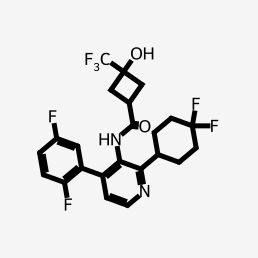 O=C(Nc1c(-c2cc(F)ccc2F)ccnc1C1CCC(F)(F)CC1)C1CC(O)(C(F)(F)F)C1